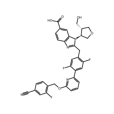 N#Cc1ccc(COc2cccc(-c3cc(F)c(Cc4nc5ccc(C(=O)O)cc5n4[C@@H]4COC[C@H]4CO)cc3F)n2)c(F)c1